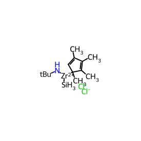 CC1=C[C](C)([Zr+2]([SiH3])[NH]C(C)(C)C)C(C)=C1C.[Cl-].[Cl-]